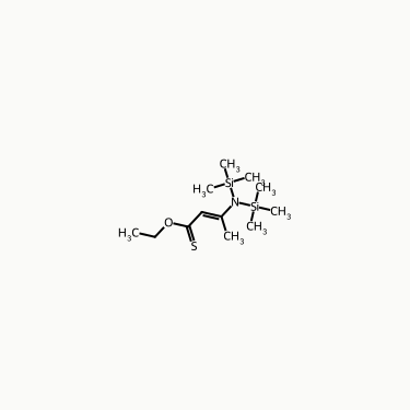 CCOC(=S)C=C(C)N([Si](C)(C)C)[Si](C)(C)C